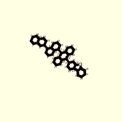 c1ccc2cc(-c3cccc4c(-c5c6ccccc6c(-c6ccc7c(c6)oc6ccccc67)c6ccccc56)cccc34)ccc2c1